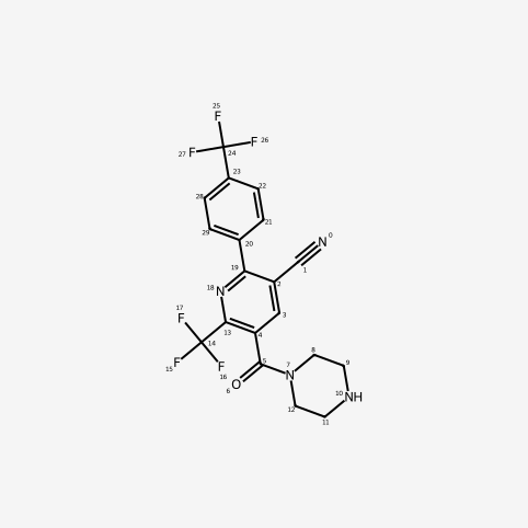 N#Cc1cc(C(=O)N2CCNCC2)c(C(F)(F)F)nc1-c1ccc(C(F)(F)F)cc1